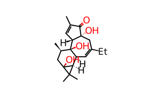 CCC1=C[C@H]2[C@H]3C(C)(C)[C@]3(O)C[C@@H](C)[C@]2(O)[C@@H]2C=C(C)C(=O)[C@@]2(O)C1